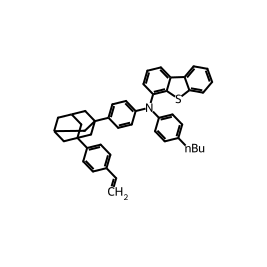 C=Cc1ccc(C23CC4CC(C2)CC(c2ccc(N(c5ccc(CCCC)cc5)c5cccc6c5sc5ccccc56)cc2)(C4)C3)cc1